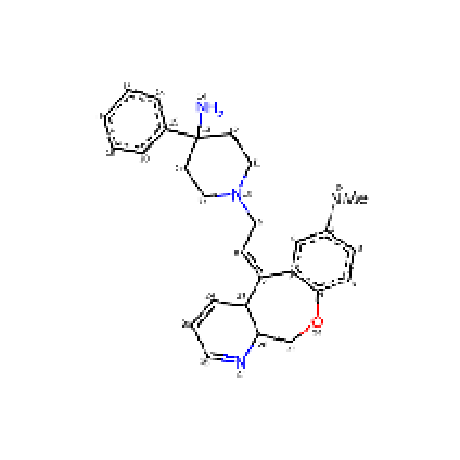 CNc1ccc2c(c1)/C(=C\CN1CCC(N)(c3ccccc3)CC1)C1C=CC=NC1CO2